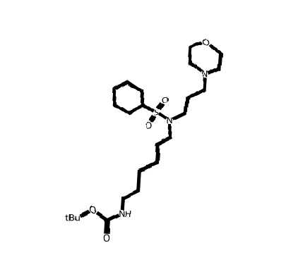 CC(C)(C)OC(=O)NCCCCCCN(CCCN1CCOCC1)S(=O)(=O)C1CCCCC1